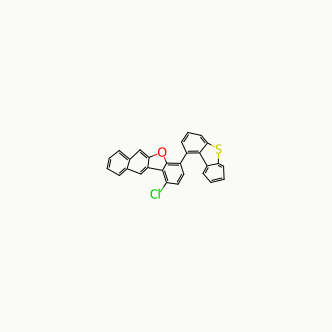 Clc1ccc(-c2cccc3sc4ccccc4c23)c2oc3cc4ccccc4cc3c12